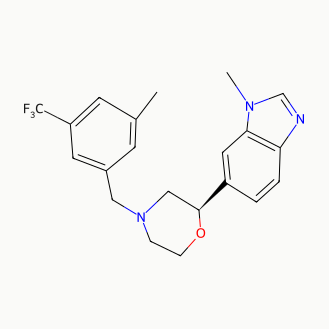 Cc1cc(CN2CCO[C@H](c3ccc4ncn(C)c4c3)C2)cc(C(F)(F)F)c1